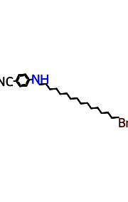 N#Cc1ccc(NCCCCCCCCCCCCCCCCBr)cc1